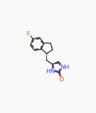 O=c1[nH]cc(C[C@@H]2CCc3cc(F)ccc32)[nH]1